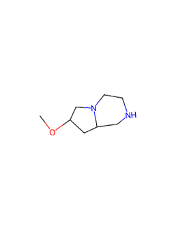 COC1CC2CNCCN2C1